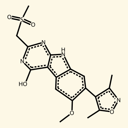 COc1cc2c(cc1-c1c(C)noc1C)[nH]c1nc(CS(C)(=O)=O)nc(O)c12